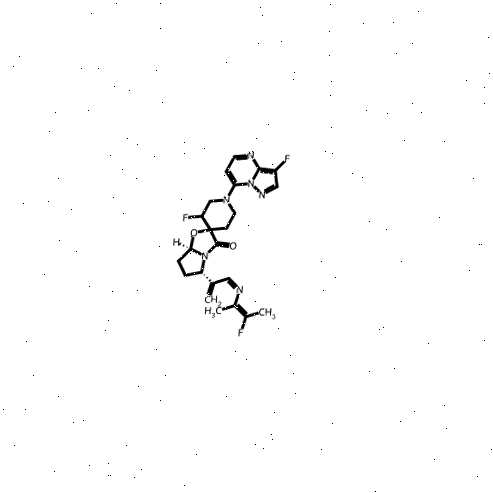 C=C(/C=N\C(C)=C(/C)F)[C@@H]1CC[C@H]2OC3(CCN(c4ccnc5c(F)cnn45)CC3F)C(=O)N21